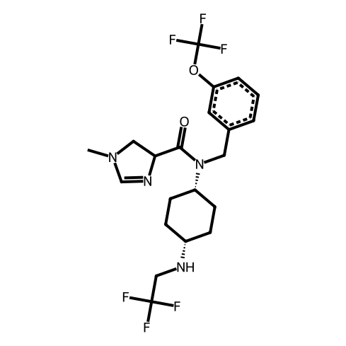 CN1C=NC(C(=O)N(Cc2cccc(OC(F)(F)F)c2)[C@H]2CC[C@@H](NCC(F)(F)F)CC2)C1